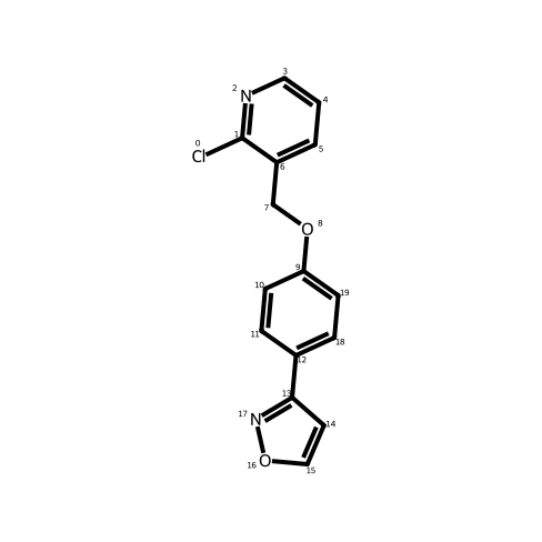 Clc1ncccc1COc1ccc(-c2ccon2)cc1